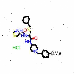 COc1ccc(CN2CCC(NC(=O)[C@H](CSCC3CCCCC3)NC(=O)[C@@H]3CSCN3)CC2)cc1.Cl